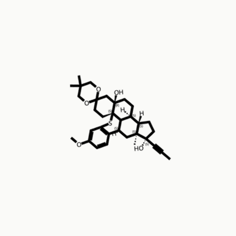 CC#C[C@]1(O)CC[C@H]2[C@@H]3CC[C@@]4(O)CC5(CC[C@@]46Sc4cc(OC)ccc4[C@@H](C[C@@]21C)C36)OCC(C)(C)CO5